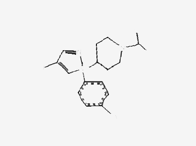 CC(C)N1CCC([N+]2(c3ccc(Cl)cc3)C=C(Cl)C=N2)CC1